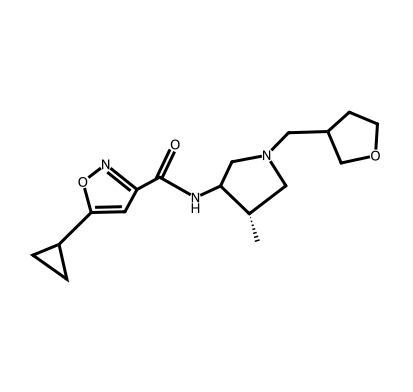 C[C@H]1CN(CC2CCOC2)CC1NC(=O)c1cc(C2CC2)on1